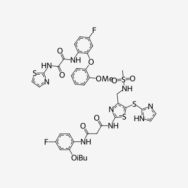 CC(C)COc1cc(F)ccc1NC(=O)CC(=O)Nc1nc(CNS(C)(=O)=O)c(Sc2ncc[nH]2)s1.COc1ccccc1Oc1cc(F)ccc1NC(=O)C(=O)Nc1nccs1